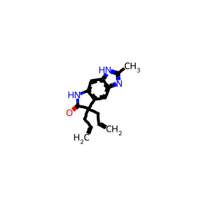 C=CCC1(CC=C)C(=O)Nc2cc3[nH]c(C)nc3cc21